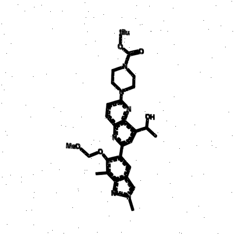 COCOc1c(-c2cc(C(C)O)c3nc(N4CCN(C(=O)OC(C)(C)C)CC4)ccc3n2)cc2cn(C)nc2c1C